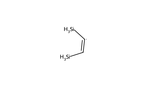 [SiH3]/[C]=C\[SiH3]